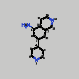 Nc1cc(-c2ccncc2)cc2cnccc12